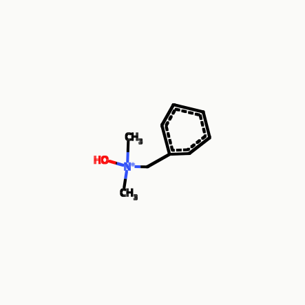 C[N+](C)(O)Cc1ccccc1